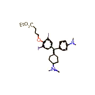 CCOC(=O)CCCOc1c(I)cc(C(=C2CCC(N(C)C)CC2)c2ccc(N(C)C)cc2)cc1I